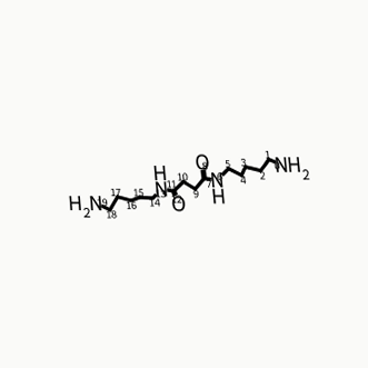 NCCCCCNC(=O)CCC(=O)NCCCCCN